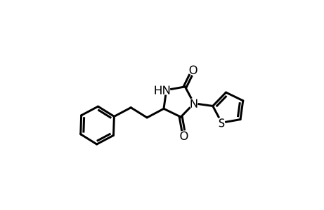 O=C1NC(CCc2ccccc2)C(=O)N1c1cccs1